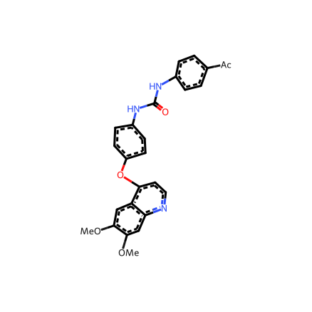 COc1cc2nccc(Oc3ccc(NC(=O)Nc4ccc(C(C)=O)cc4)cc3)c2cc1OC